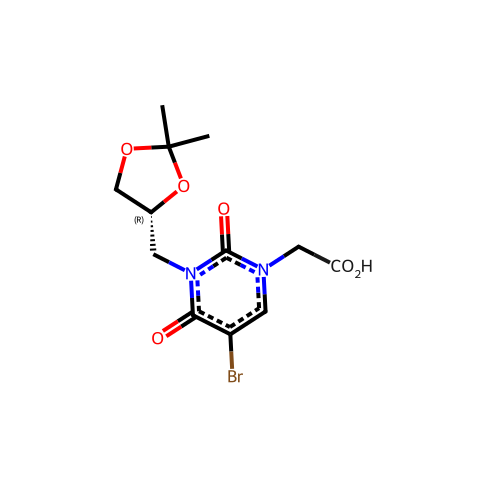 CC1(C)OC[C@@H](Cn2c(=O)c(Br)cn(CC(=O)O)c2=O)O1